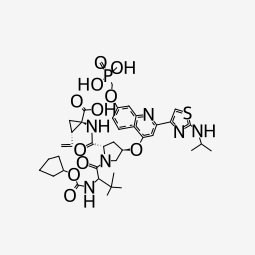 C=C[C@@H]1C[C@]1(NC(=O)[C@@H]1C[C@@H](Oc2cc(-c3csc(NC(C)C)n3)nc3cc(OCP(=O)(O)O)ccc23)CN1C(=O)C(NC(=O)OC1CCCC1)C(C)(C)C)C(=O)O